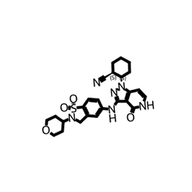 N#C[C@H]1CCCC[C@@H]1n1nc(Nc2ccc3c(c2)CN(C2CCOCC2)S3(=O)=O)c2c(=O)[nH]ccc21